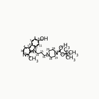 Cc1nccc2c3ccc(O)cc3n(CCCN3CCN(C(=O)OC(C)(C)C)CC3)c12